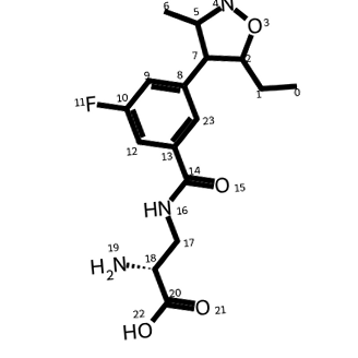 CCC1ONC(C)C1c1cc(F)cc(C(=O)NC[C@@H](N)C(=O)O)c1